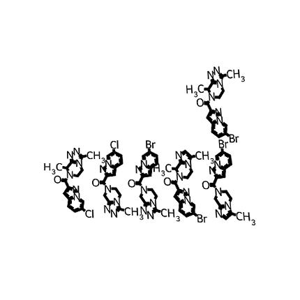 Cc1cnc2n1CCN(C(=O)c1cc3ccc(Br)cn3n1)C2.Cc1cnc2n1CCN(C(=O)c1cc3ccc(Br)cn3n1)C2C.Cc1nnc2n1CCN(C(=O)c1cc3ccc(Br)cn3n1)C2.Cc1nnc2n1CCN(C(=O)c1cc3ccc(Br)cn3n1)C2C.Cc1nnc2n1CCN(C(=O)c1cc3ccc(Cl)cn3n1)C2.Cc1nnc2n1CCN(C(=O)c1cc3ccc(Cl)cn3n1)C2C